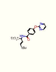 CCOC(=O)C(C=CC(C)(C)C)NC(=O)c1ccc(Oc2ncccn2)cc1